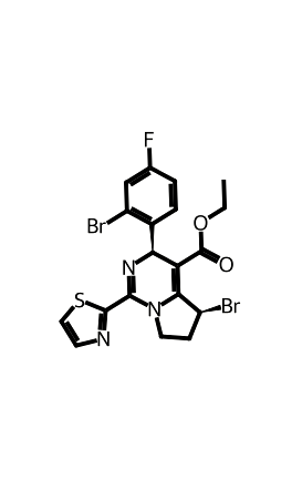 CCOC(=O)C1=C2[C@@H](Br)CCN2C(c2nccs2)=N[C@H]1c1ccc(F)cc1Br